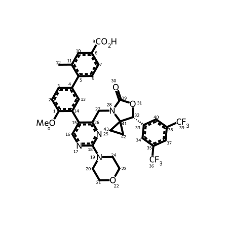 COc1ccc(-c2ccc(C(=O)O)cc2C)cc1-c1cnc(N2CCOCC2)nc1CN1C(=O)O[C@H](c2cc(C(F)(F)F)cc(C(F)(F)F)c2)C12CC2